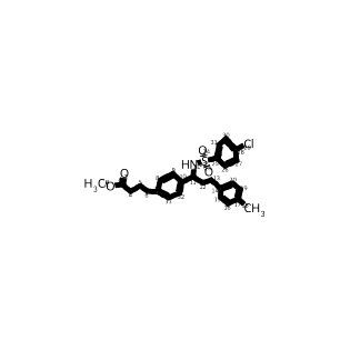 COC(=O)CCCc1ccc(C(CCc2ccc(C)cc2)NS(=O)(=O)c2ccc(Cl)cc2)cc1